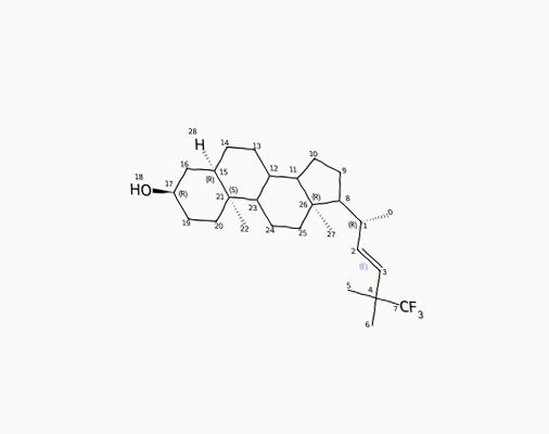 C[C@H](/C=C/C(C)(C)C(F)(F)F)C1CCC2C3CC[C@@H]4C[C@H](O)CC[C@]4(C)C3CC[C@@]21C